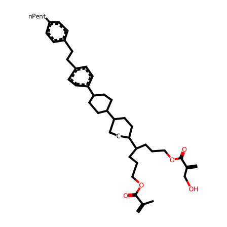 C=C(C)C(=O)OCCCC(CCCOC(=O)C(=C)CO)C1CCC(C2CCC(c3ccc(CCc4ccc(CCCCC)cc4)cc3)CC2)CC1